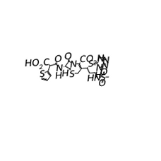 CS(=O)(=O)NCCC(Sc1nnn[nH]1)C1=C(C(=O)O)N2C(=O)[C@@H](NC(=O)C(C(=O)O)c3cccs3)[C@@H]2SC1